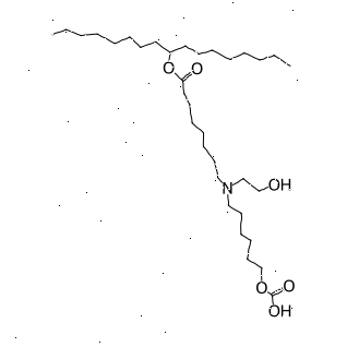 CCCCCCCCC(CCCCCCCC)OC(=O)CCCCCCCN(CCO)CCCCCCOC(=O)O